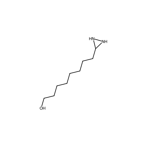 OCCCCCCCCC1NN1